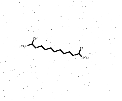 CCCCCCC(CC)CCCCCCCCCC(O)C(=O)O